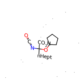 CCCCCCCC(N=C=O)(OC1CCCC1)C(=O)O